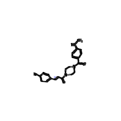 CBc1ccc(C(=O)N2CCN(C(=O)/C=C/c3ccc(Br)cc3)CC2)cc1